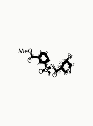 COC(=O)c1cccc(S(C)(=O)=NC(=O)c2cncc(Br)c2)c1